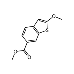 COC(=O)c1ccc2cc(OC)sc2c1